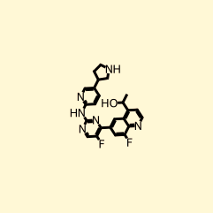 CC(O)c1ccnc2c(F)cc(-c3nc(Nc4ccc(C5CCNC5)cn4)ncc3F)cc12